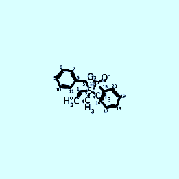 C=C[S+](C)(C)(Cc1ccccc1)P(=O)([O-])c1ccccc1